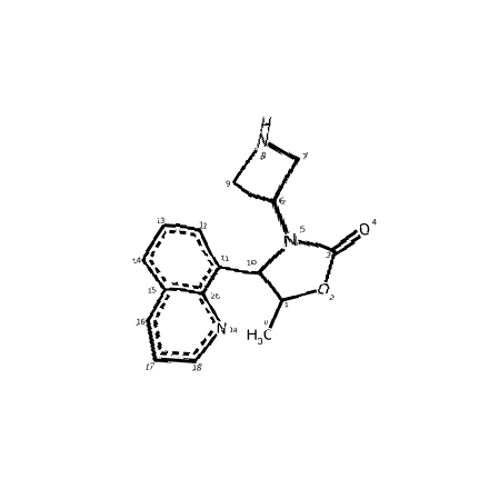 CC1OC(=O)N(C2CNC2)C1c1cccc2cccnc12